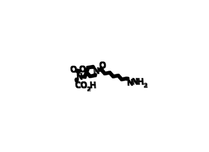 NN=CCCCCCC(=O)N1CCC2(CC1)CN(CC(=O)O)C(=O)O2